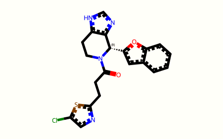 O=C(CCc1ncc(Cl)s1)N1CCc2[nH]cnc2[C@@H]1c1cc2ccccc2o1